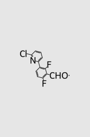 O=[C]c1c(F)ccc(-c2cccc(Cl)n2)c1F